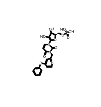 O=c1ccn(C2=C(O)C(O)[C@@H](COP(=O)(O)O)O2)c(=O)n1Cc1cc(Oc2ccccc2)ccn1